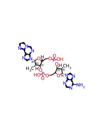 C[C@@H]1[C@@H]2OP(=O)(O)OCC3O[C@@H](n4cnc5c(N)ncnc54)[C@H](C)[C@@H]3OP(=O)(O)OC[C@H]2O[C@H]1n1cnc2c1ncn1ccnc21